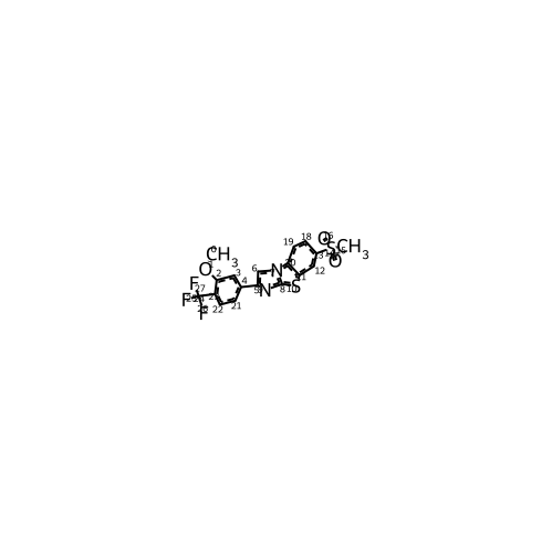 COc1cc(-c2cn3c(n2)sc2cc(S(C)(=O)=O)ccc23)ccc1C(F)(F)F